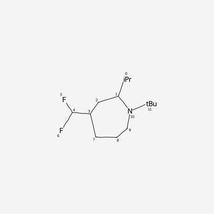 CC(C)C1CC(C(F)F)CCCN1C(C)(C)C